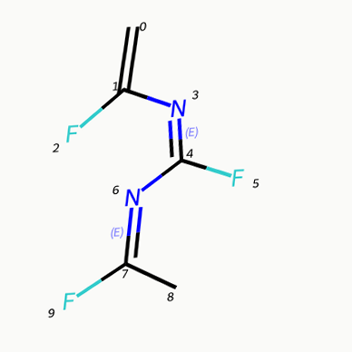 C=C(F)/N=C(F)\N=C(/C)F